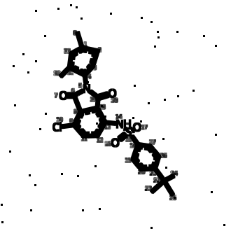 Cc1ccc(N2C(=O)c3c(Cl)ccc(NS(=O)(=O)c4ccc(C(C)(C)C)cc4)c3C2=O)c(C)c1